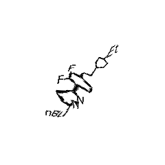 CCCCc1ccc(-c2ccc(CCC3CCC(CC)CC3)c(F)c2F)nn1